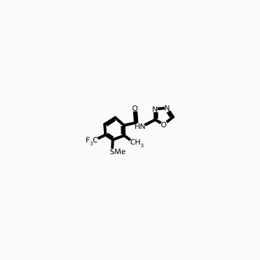 CSc1c(C(F)(F)F)ccc(C(=O)Nc2nnco2)c1C